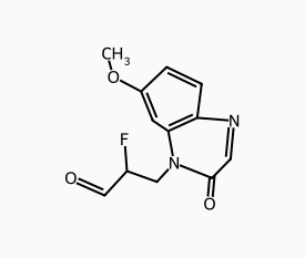 COc1ccc2ncc(=O)n(CC(F)C=O)c2c1